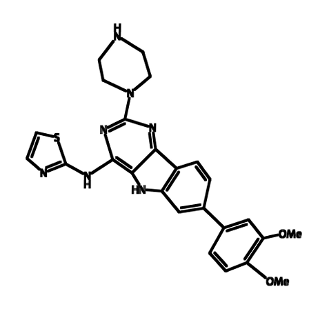 COc1ccc(-c2ccc3c(c2)[nH]c2c(Nc4nccs4)nc(N4CCNCC4)nc23)cc1OC